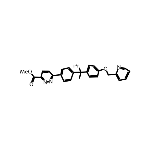 COC(=O)c1ccc(-c2ccc(C(C)(c3ccc(OCc4ccccn4)cc3)C(C)C)cc2)nn1